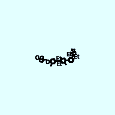 CCC(CC)(O[Si](C)(C)C)c1cccc(-c2ccc(C(CC)(CC)c3ccc(OCC4=CCC(=O)O4)c(C)c3)cc2C)c1